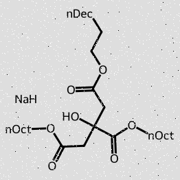 CCCCCCCCCCCCOC(=O)CC(O)(CC(=O)OCCCCCCCC)C(=O)OCCCCCCCC.[NaH]